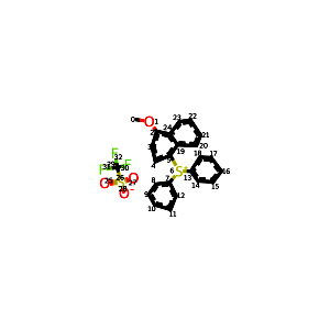 COc1ccc([S+](c2ccccc2)c2ccccc2)c2ccccc12.O=S(=O)([O-])C(F)(F)F